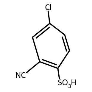 N#Cc1cc(Cl)ccc1S(=O)(=O)O